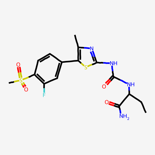 CCC(NC(=O)Nc1nc(C)c(-c2ccc(S(C)(=O)=O)c(F)c2)s1)C(N)=O